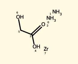 N.N.O=C(O)CO.[Zr]